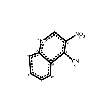 N#Cc1c([N+](=O)[O-])cnc2ccccc12